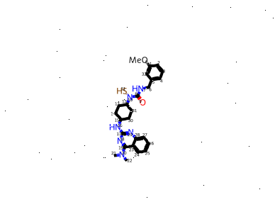 COc1cccc(CNC(=O)N(S)C2CCC(Nc3nc(N(C)C)c4ccccc4n3)CC2)c1